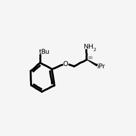 CC(C)[C@H](N)COc1ccccc1C(C)(C)C